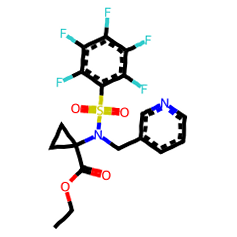 CCOC(=O)C1(N(Cc2cccnc2)S(=O)(=O)c2c(F)c(F)c(F)c(F)c2F)CC1